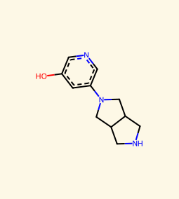 Oc1cncc(N2CC3CNCC3C2)c1